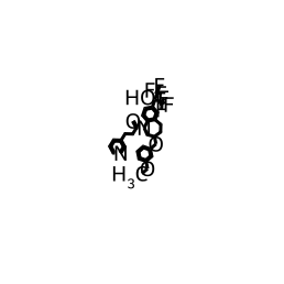 COc1cccc(OC2CCc3cc(C(O)(C(F)(F)F)C(F)(F)F)ccc3N(C(=O)CCc3cccnc3)C2)c1